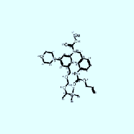 C=CCOC(=O)Nc1cccc(CN(C(=O)OC(C)(C)C)c2cc(N3CCOCC3)cc(COCOC(C)[Si](C)(C)C)n2)c1